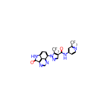 O=C(Nc1ccnc(C(F)(F)F)c1)c1cnn(-c2ccc3c4c(ncnc24)C(=O)N3)c1C(F)(F)F